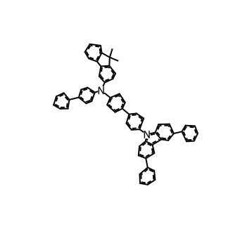 CC1(C)c2ccccc2-c2cc(N(c3ccc(-c4ccccc4)cc3)c3ccc(-c4ccc(-n5c6ccc(-c7ccccc7)cc6c6cc(-c7ccccc7)ccc65)cc4)cc3)ccc21